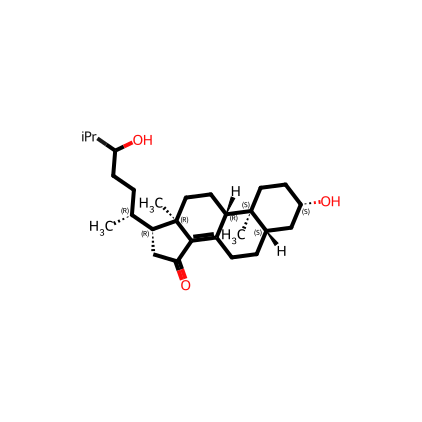 CC(C)C(O)CC[C@@H](C)[C@H]1CC(=O)C2=C3CC[C@H]4C[C@@H](O)CC[C@]4(C)[C@H]3CC[C@@]21C